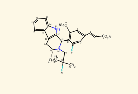 COc1cc(/C=C/C(=O)O)cc(F)c1[C@@H]1c2[nH]c3ccccc3c2C[C@@H](C)N1CC(C)(C)F